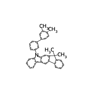 Cc1ccc(-c2cccc(-n3c4ccccc4c4cc5c(cc43)C(C)(C)c3ccccc3-5)c2)cc1C